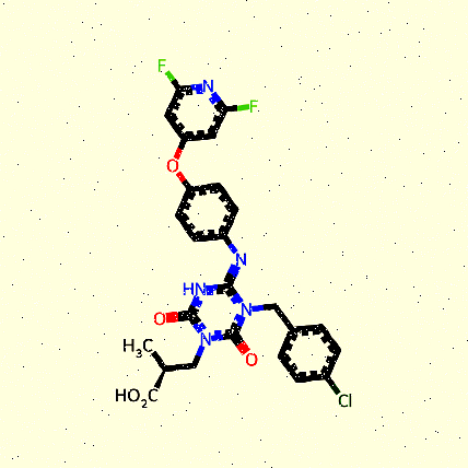 C[C@@H](Cn1c(=O)[nH]/c(=N\c2ccc(Oc3cc(F)nc(F)c3)cc2)n(Cc2ccc(Cl)cc2)c1=O)C(=O)O